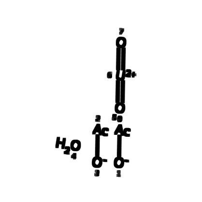 CC(=O)[O-].CC(=O)[O-].O.[O]=[U+2]=[O]